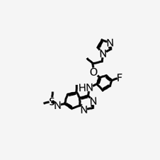 Cc1cc(N=S(C)C)cc2ncnc(Nc3ccc(F)cc3OC(C)Cn3ccnc3)c12